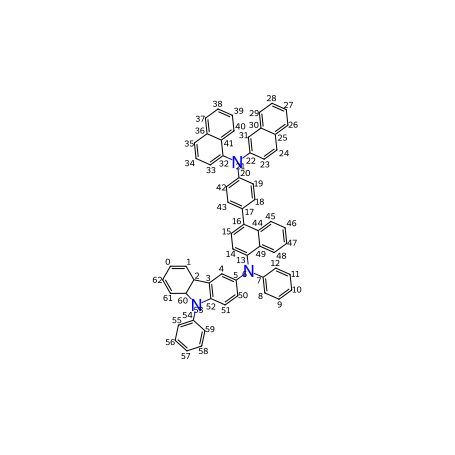 C1=CC2c3cc(N(c4ccccc4)c4ccc(-c5ccc(N(c6ccc7ccccc7c6)c6cccc7ccccc67)cc5)c5ccccc45)ccc3N(c3ccccc3)C2C=C1